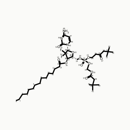 CCCCCCCCCCCCCCC(=O)O[C@@H]1[C@@H](COP(=O)(OCCC(=O)CC(C)(C)C)OCOC(=O)CC(C)(C)C)O[C@@H](n2ccc(N)nc2=O)C1(F)F